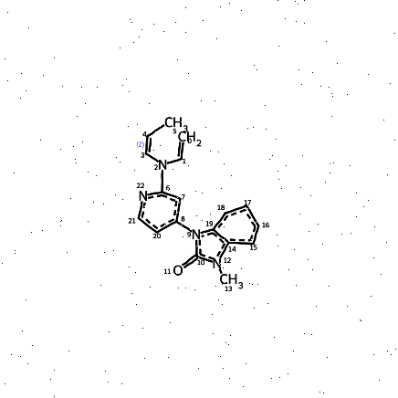 C=CN(/C=C\C)c1cc(-n2c(=O)n(C)c3ccccc32)ccn1